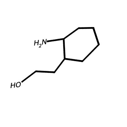 NC1CCCCC1CCO